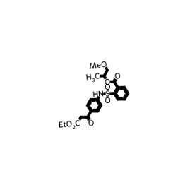 CCOC(=O)CC(=O)c1ccc(NS(=O)(=O)c2ccccc2C(=O)OC(C)COC)cc1